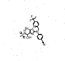 CS(=O)(=O)NC(O)c1nc(N(Cc2ccc(C(F)(F)F)cn2)c2ccc(C#N)cc2)sc1Br